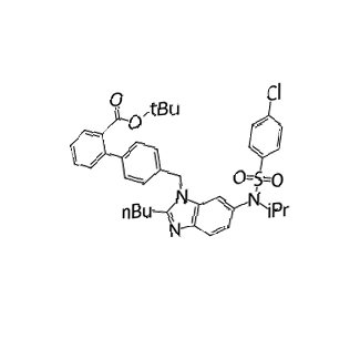 CCCCc1nc2ccc(N(C(C)C)S(=O)(=O)c3ccc(Cl)cc3)cc2n1Cc1ccc(-c2ccccc2C(=O)OC(C)(C)C)cc1